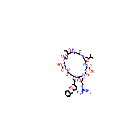 C/C=C1\NC(=O)CC[C@H](C(=O)O)NC(=O)[C@@H](C)[C@H](/C=C/C(C)=C/[C@H](C)[C@H](Cc2ccccc2)OC)NC(=O)[C@H](CCCN=C(N)N)NC(=O)C[C@H](C(=O)O)NC(=O)[C@H](CCC(C)C)NC(=O)[C@@H](C)NC1=O